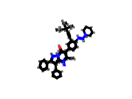 Cc1[nH]c2c(-c3ccccc3)c(-c3ccccc3)nn2c(=O)c1-c1ccc(N=NN2CCCCC2)c(C#C[Si](C)(C)C)c1